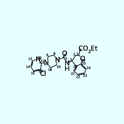 CCOC(=O)C1CC(NC(=O)N2CCN(c3ncccc3Cl)CC2)c2ccccc2O1